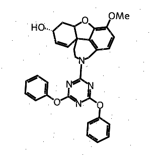 COc1ccc2c3c1OC1C[C@@H](O)C=CC31CCN(c1nc(Oc3ccccc3)nc(Oc3ccccc3)n1)C2